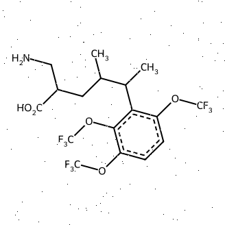 CC(CC(CN)C(=O)O)C(C)c1c(OC(F)(F)F)ccc(OC(F)(F)F)c1OC(F)(F)F